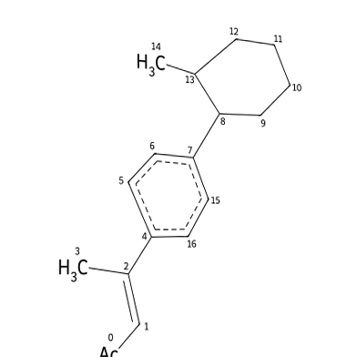 CC(=O)C=C(C)c1ccc(C2CCCCC2C)cc1